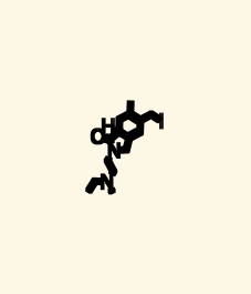 CCN(C)CCN1CC2=CC(CI)=C(C)C[C@H]2C1=O